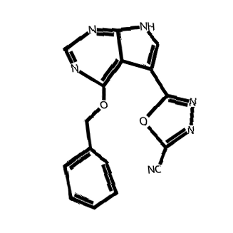 N#Cc1nnc(-c2c[nH]c3ncnc(OCc4ccccc4)c23)o1